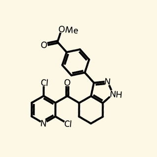 COC(=O)c1ccc(-c2n[nH]c3c2C(C(=O)c2c(Cl)ccnc2Cl)CCC3)cc1